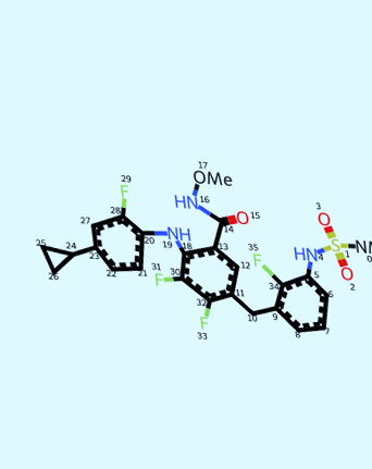 CNS(=O)(=O)Nc1cccc(Cc2cc(C(=O)NOC)c(Nc3ccc(C4CC4)cc3F)c(F)c2F)c1F